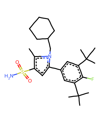 Cc1c(S(N)(=O)=O)cc(-c2cc(C(C)(C)C)c(F)c(C(C)(C)C)c2)n1CC1CCCCC1